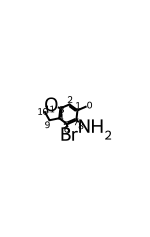 Cc1cc2c(c(Br)c1N)CCO2